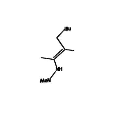 CCC(C)C/C(C)=C(\C)NNC